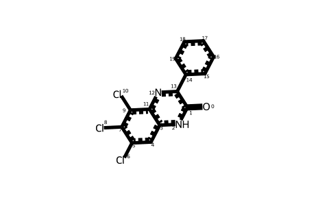 O=c1[nH]c2cc(Cl)c(Cl)c(Cl)c2nc1-c1ccccc1